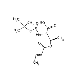 C/C=C/C(=O)O[C@H](C)[C@H](NC(=O)OC(C)(C)C)C(=O)O